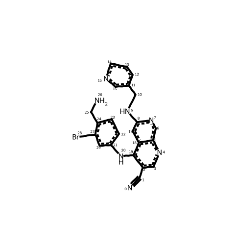 N#Cc1cnc2cnc(NCc3cccnc3)cc2c1Nc1ccc(CN)c(Br)c1